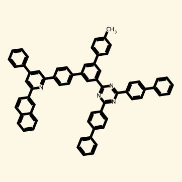 Cc1ccc(-c2cc(-c3ccc(-c4cc(-c5ccccc5)cc(-c5ccc6ccccc6c5)n4)cc3)cc(-c3nc(-c4ccc(-c5ccccc5)cc4)nc(-c4ccc(-c5ccccc5)cc4)n3)c2)cc1